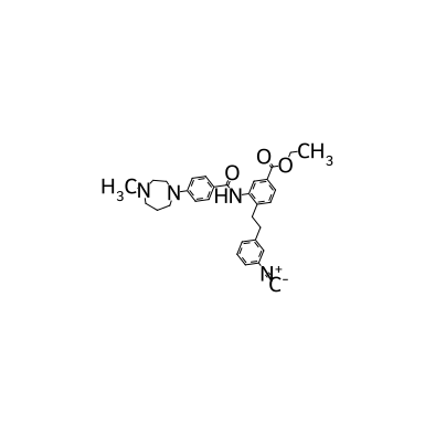 [C-]#[N+]c1cccc(CCc2ccc(C(=O)OCC)cc2NC(=O)c2ccc(N3CCCN(C)CC3)cc2)c1